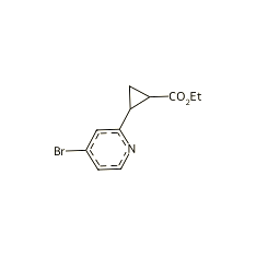 CCOC(=O)C1CC1c1cc(Br)ccn1